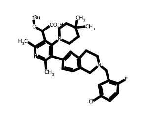 Cc1nc(C)c(C(OC(C)(C)C)C(=O)O)c(N2CCC(C)(C)CC2)c1-c1ccc2c(c1)CCN(Cc1cc(Cl)ccc1F)C2